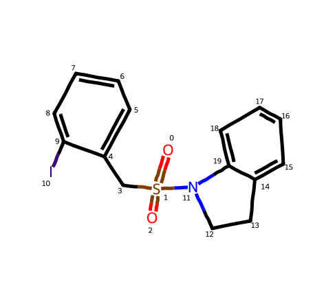 O=S(=O)(Cc1ccccc1I)N1CCc2ccccc21